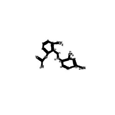 CCC(=O)Oc1cccc(C(F)(F)F)c1COc1ccc(CC)cc1C(F)(F)F